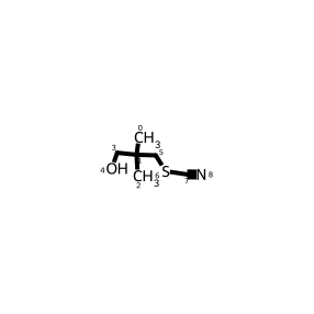 CC(C)(CO)CSC#N